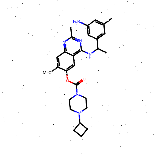 COc1cc2nc(C)nc(NC(C)c3cc(C)cc(N)c3)c2cc1OC(=O)N1CCN(C2CCC2)CC1